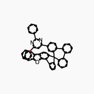 c1ccc(-c2cc(-c3ccc4c(c3)C3(c5ccccc5-c5ccccc5-4)c4ccccc4-c4c3ccc3c4oc4ccccc43)nc(-c3ccccc3)n2)cc1